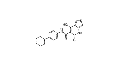 O=C(Nc1ccc(C2CCCCC2)cc1)c1c(O)c2cscc2[nH]c1=O